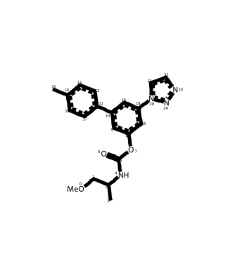 COCC(C)NC(=O)Oc1cc(-c2ccc(C)cc2)cc(-n2ccnn2)c1